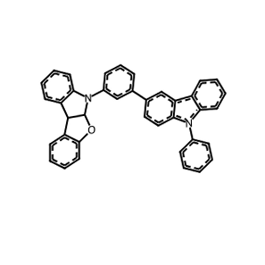 c1ccc(-n2c3ccccc3c3cc(-c4cccc(N5c6ccccc6C6c7ccccc7OC65)c4)ccc32)cc1